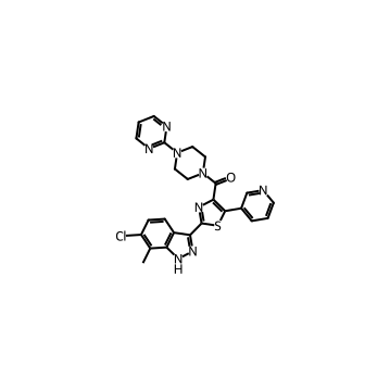 Cc1c(Cl)ccc2c(-c3nc(C(=O)N4CCN(c5ncccn5)CC4)c(-c4cccnc4)s3)n[nH]c12